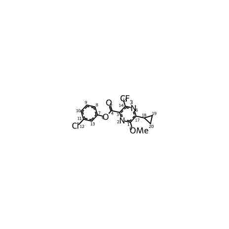 COc1nc(C(=O)Oc2cccc(Cl)c2)c(C(F)(F)F)nc1C1CC1